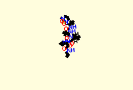 C=CCNC(=O)C(=O)C(NC(=O)[C@@H]1[C@@H]2[C@H](CN1C(=O)[C@@H](NC(=O)N[C@H](CN1CCCN(C)S1(=O)=O)C(C)(C)C)C(C)(C)C)C2(C)C)C1CCC1